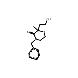 CC1(CCO)OCCN(Cc2ccccc2)C1=O